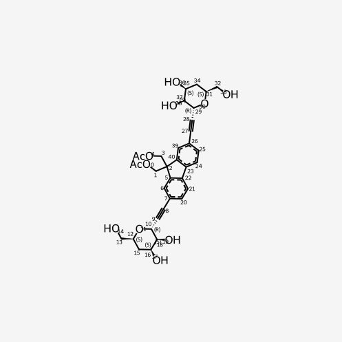 CC(=O)OCC1(COC(C)=O)c2cc(C#C[C@H]3O[C@H](CO)C[C@H](O)[C@@H]3O)ccc2-c2ccc(C#C[C@H]3O[C@H](CO)C[C@H](O)[C@@H]3O)cc21